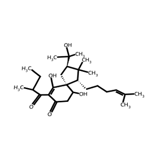 CCC(C)C(=O)C1=C(O)[C@]2(C[C@@H](C(C)(C)O)C(C)(C)[C@@H]2CCCC=C(C)C)C(O)CC1=O